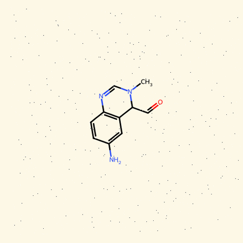 CN1C=Nc2ccc(N)cc2C1C=O